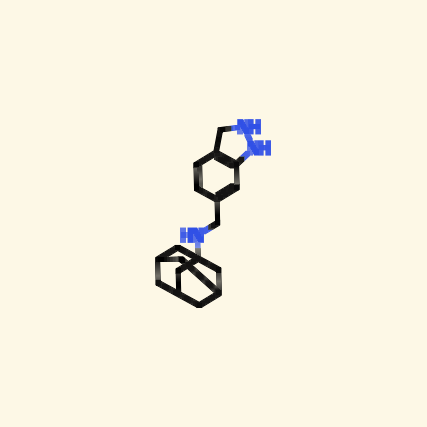 c1cc2c(cc1CNC13CC4CC(CC(C4)C1)C3)NNC2